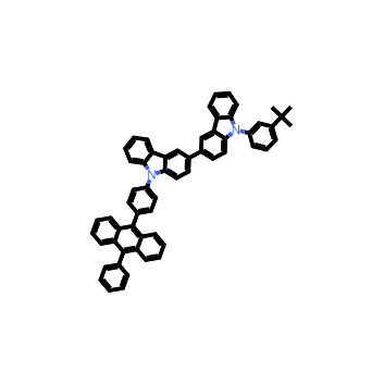 CC(C)(C)c1cccc(-n2c3ccccc3c3cc(-c4ccc5c(c4)c4ccccc4n5-c4ccc(-c5c6ccccc6c(-c6ccccc6)c6ccccc56)cc4)ccc32)c1